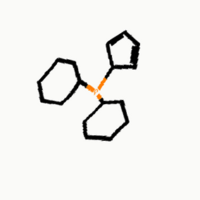 C1=CC(P(C2CCCCC2)C2CCCCC2)C=C1